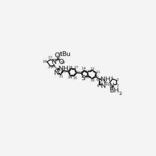 BN1CCC[C@H]1c1ncc(-c2ccc3cc(-c4ccc(-c5cnc([C@@H]6CCCN6C(=O)OC(C)(C)C)[nH]5)cc4)sc3c2)[nH]1